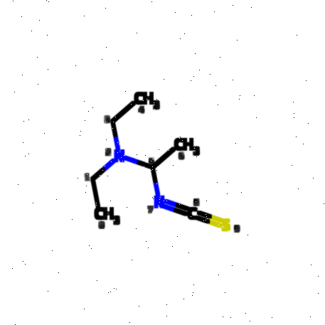 CCN(CC)C(C)N=C=S